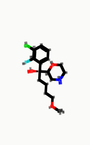 COCCCC[C@@](O)(c1cccc(Cl)c1F)C1CNCCO1